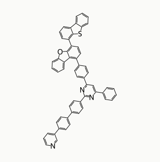 c1ccc(-c2cc(-c3ccc(-c4ccc(-c5cccc6c5sc5ccccc56)c5oc6ccccc6c45)cc3)nc(-c3ccc(-c4ccc(-c5cccnc5)cc4)cc3)n2)cc1